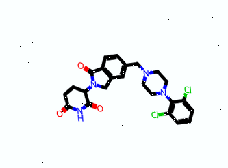 O=C1CCC(N2Cc3cc(CN4CCN(c5c(Cl)cccc5Cl)CC4)ccc3C2=O)C(=O)N1